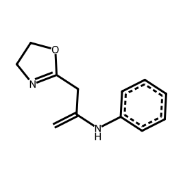 C=C(CC1=NCCO1)Nc1ccccc1